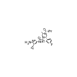 CC(C)C(=O)N1CC(c2ccc(F)cc2)N(C(=O)C(=O)Nc2cnc(N)c(C3CC3)c2)CC1C